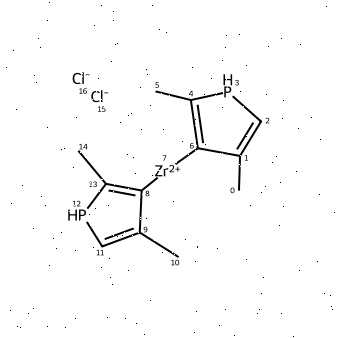 Cc1c[pH]c(C)[c]1[Zr+2][c]1c(C)c[pH]c1C.[Cl-].[Cl-]